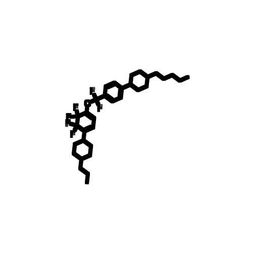 CCCCCC1CCC(c2ccc(C(F)(F)OC3=CC=C(C4CCC(CCC)CC4)C(F)(F)C3(F)F)cc2)CC1